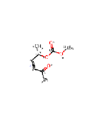 CC(C)C(=O)/C=C\[C@H](C)OC(=O)OC(C)(C)C